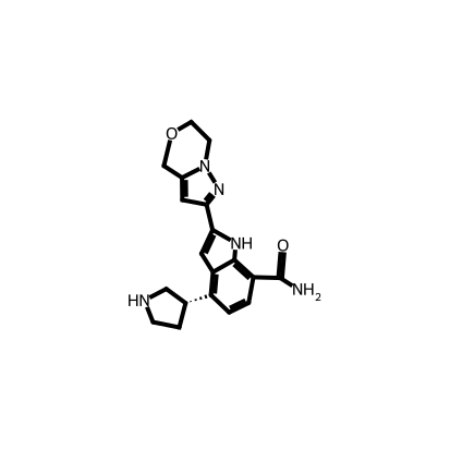 NC(=O)c1ccc([C@@H]2CCNC2)c2cc(-c3cc4n(n3)CCOC4)[nH]c12